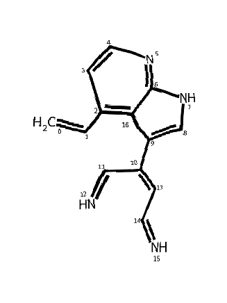 C=Cc1ccnc2[nH]cc(/C(C=N)=C/C=N)c12